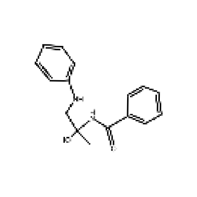 CC(O)(CNc1ccccc1)NC(=O)c1ccccc1